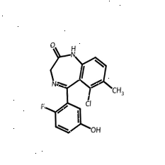 Cc1ccc2c(c1Cl)C(c1cc(O)ccc1F)=NCC(=O)N2